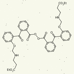 CCOC(=O)CCNCOc1ccccc1C(=O)c1ccccc1C(=O)OOC(=O)c1ccccc1C(=O)c1ccccc1OCNCCC(=O)OCC